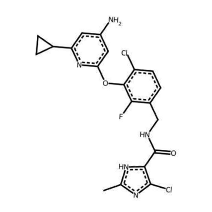 Cc1nc(Cl)c(C(=O)NCc2ccc(Cl)c(Oc3cc(N)cc(C4CC4)n3)c2F)[nH]1